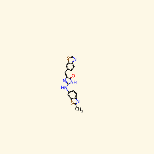 Cc1nc2ccc(NC3=NC(=Cc4ccc5ncsc5c4)C(=O)N3)cc2s1